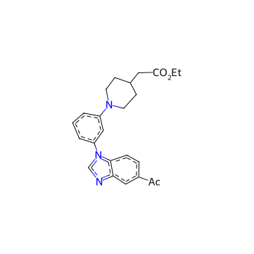 CCOC(=O)CC1CCN(c2cccc(-n3cnc4cc(C(C)=O)ccc43)c2)CC1